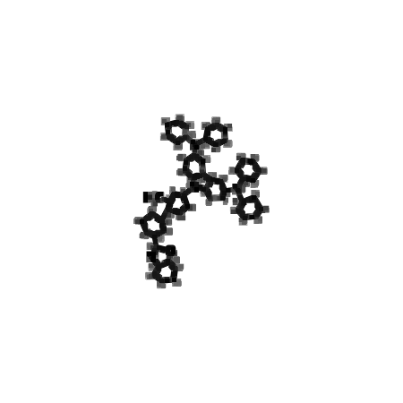 Cc1cc(-n2c3ccc(N(c4ccccc4)c4ccccc4)cc3c3cc(N(c4ccccc4)c4ccccc4)ccc32)ccc1-c1cccc(-c2nc3ccccc3o2)c1